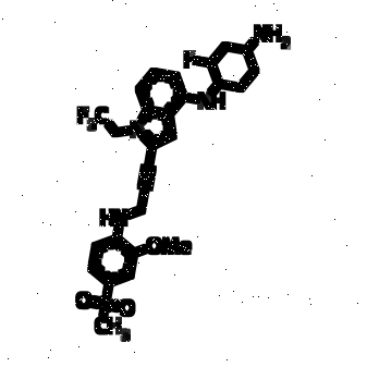 COc1cc(S(C)(=O)=O)ccc1NCC#Cc1cc2c(NC3CCC(N)CC3F)cccc2n1CC(F)(F)F